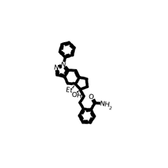 CC[C@]12Cc3cnn(-c4ccccc4)c3C=C1CC[C@@]2(O)CCc1ccccc1C(N)=O